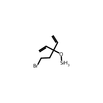 C=CC(C=C)(CCBr)O[SiH3]